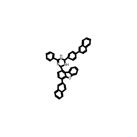 c1ccc(C2=NC(c3ccc(-c4ccc5ccccc5c4)c4oc5ccccc5c34)NC(c3ccc(-c4ccc5ccccc5c4)cc3)N2)cc1